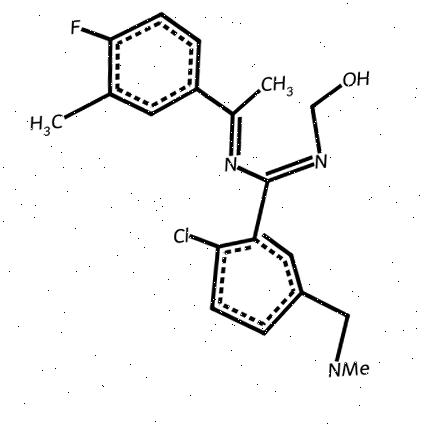 CNCc1ccc(Cl)c(C(=N/CO)/N=C(\C)c2ccc(F)c(C)c2)c1